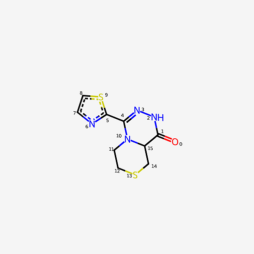 O=C1NN=C(c2nccs2)N2CCSCC12